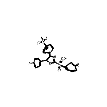 CS(=O)(=O)c1ccc(-c2nc(S(=O)(=O)c3cccc(F)c3)sc2-c2ccc(F)cc2)cc1